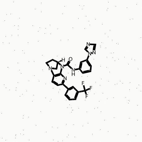 O=C(Nc1cccc(-n2cncn2)c1)N1c2nc(-c3cccc(C(F)(F)F)c3)ccc2N2CC[C@H]1C2